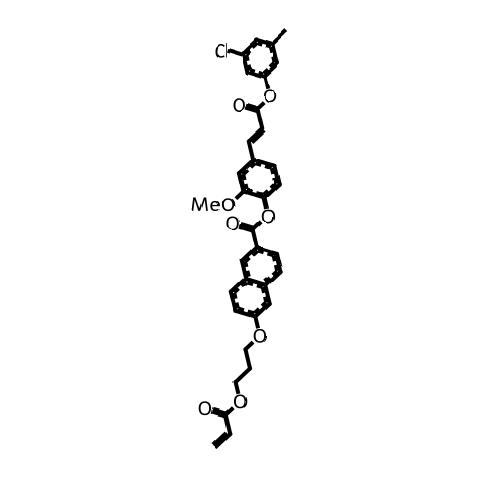 C=CC(=O)OCCCOc1ccc2cc(C(=O)Oc3ccc(/C=C/C(=O)Oc4cc(C)cc(Cl)c4)cc3OC)ccc2c1